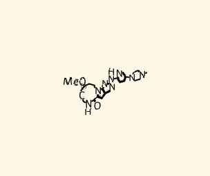 CO[C@H]1CCCNC(=O)c2cc3cnc(Nc4ccc(N5CCN(C)CC5)cn4)nc3n2CC1